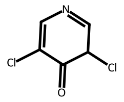 O=C1C(Cl)=CN=CC1Cl